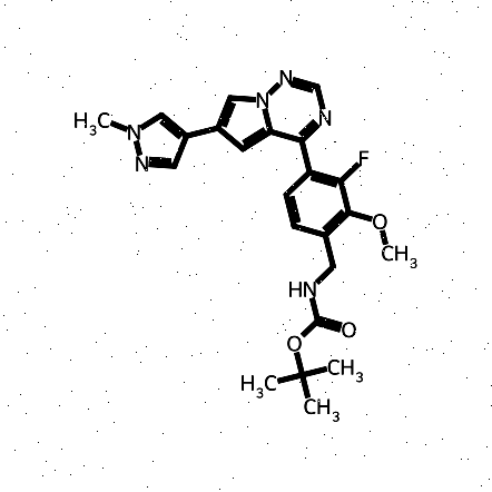 COc1c(CNC(=O)OC(C)(C)C)ccc(-c2ncnn3cc(-c4cnn(C)c4)cc23)c1F